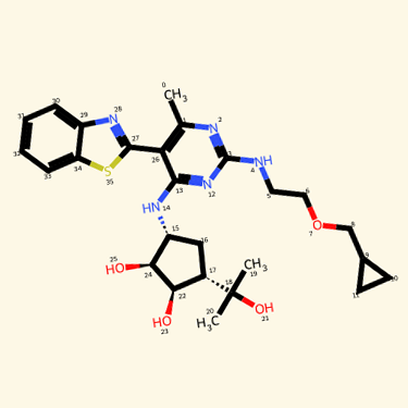 Cc1nc(NCCOCC2CC2)nc(N[C@@H]2C[C@H](C(C)(C)O)[C@@H](O)[C@H]2O)c1-c1nc2ccccc2s1